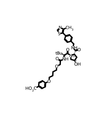 Cc1ncsc1-c1ccc(CNC(=O)[C@@H]2C[C@@H](O)CN2C(=O)[C@@H](NC(=O)COCCCCOc2ccc(C(=O)O)cc2)C(C)(C)C)cc1